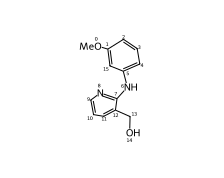 COc1cccc(Nc2ncccc2CO)c1